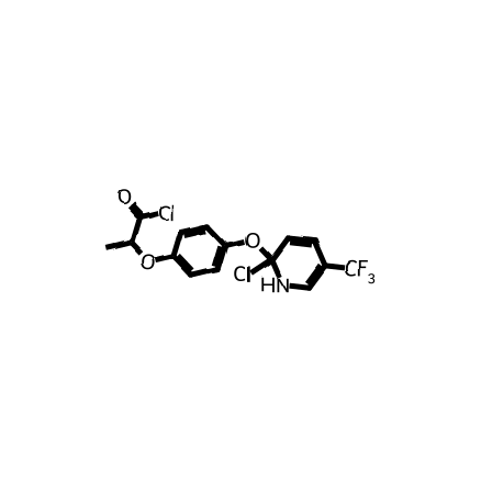 CC(Oc1ccc(OC2(Cl)C=CC(C(F)(F)F)=CN2)cc1)C(=O)Cl